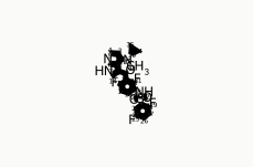 CN(c1ccnc2[nH]cc(C(=O)c3c(F)ccc(NS(=O)(=O)c4cc(F)ccc4F)c3F)c12)C1CC1